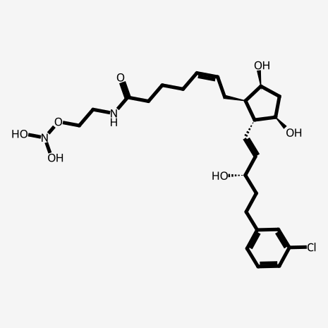 O=C(CCC/C=C\C[C@@H]1[C@@H](/C=C/[C@@H](O)CCc2cccc(Cl)c2)[C@H](O)C[C@@H]1O)NCCON(O)O